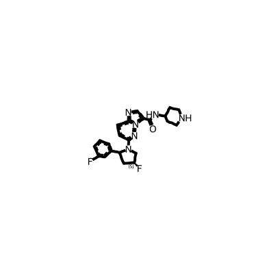 O=C(NC1CCNCC1)c1cnc2ccc(N3C[C@@H](F)CC3c3cccc(F)c3)nn12